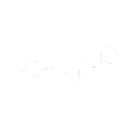 O=C(Nc1ncc(SCc2ccc(F)cc2F)s1)c1ccccn1